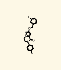 Cc1ccc(N2CCn3nc(OCc4cccc(F)c4)cc3C2=O)cc1